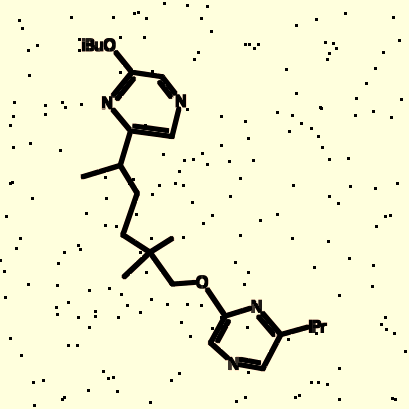 CC(C)COc1cncc(C(C)CCC(C)(C)COc2cncc(C(C)C)n2)n1